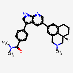 CN1Cc2cc(-c3cnc4[nH]cc(-c5ccc(C(=O)N(C)C)cc5)c4c3)cc3c2[C@H](CCC3)C1